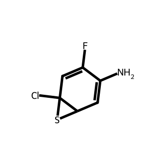 NC1=CC2SC2(Cl)C=C1F